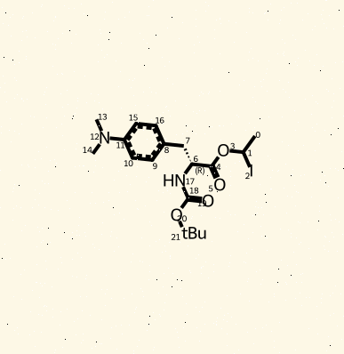 CC(I)OC(=O)[C@@H](Cc1ccc(N(C)C)cc1)NC(=O)OC(C)(C)C